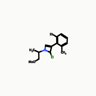 CCc1cccc(C)c1C1=CN(C(C)COC)C1Cl